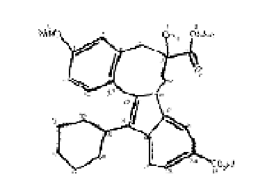 COC(=O)C1(C)Cc2cc(OC)ccc2-c2c(C3CCCCC3)c3ccc(C(=O)O)cc3n2C1